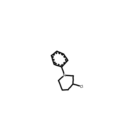 ClC1CCCN(c2ccccc2)C1